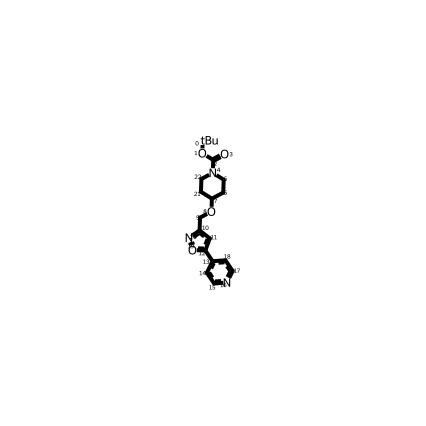 CC(C)(C)OC(=O)N1CCC(OCc2cc(-c3ccncc3)on2)CC1